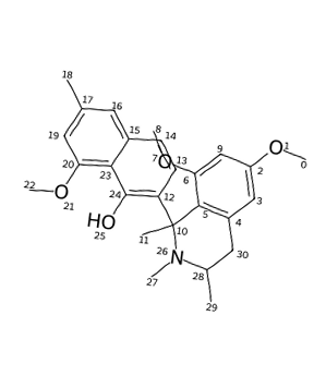 COc1cc2c(c(OC)c1)C(C)(c1ccc3cc(C)cc(OC)c3c1O)N(C)C(C)C2